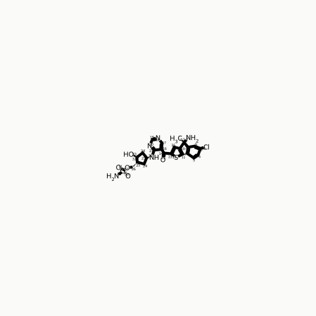 C[C@@](N)(c1cccc(Cl)c1)c1csc(C(=O)c2cncnc2N[C@@H]2C[C@H](COS(N)(=O)=O)[C@@H](O)C2)c1